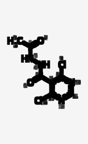 CC(=O)NNC(=O)c1c(Cl)ncnc1Cl